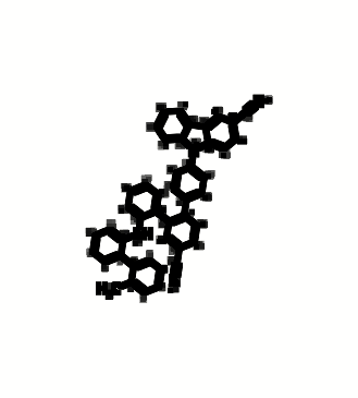 Cc1ccccc1-c1ccccc1Nc1ccccc1-c1cc(C#N)ccc1-c1ccc(-n2c3ccccc3c3cc(C#N)ccc32)cc1